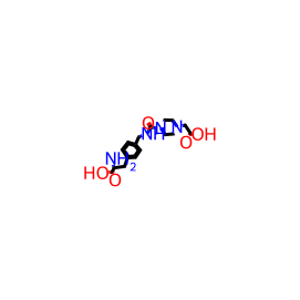 NC(Cc1ccc(CNC(=O)N2CCN(CC(=O)O)CC2)cc1)C(=O)O